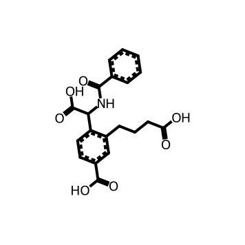 O=C(O)CCCc1cc(C(=O)O)ccc1C(NC(=O)c1ccccc1)C(=O)O